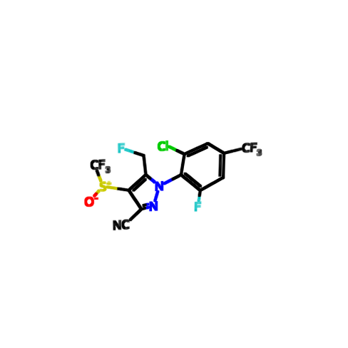 N#Cc1nn(-c2c(F)cc(C(F)(F)F)cc2Cl)c(CF)c1[S+]([O-])C(F)(F)F